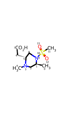 C[C@H]1CN(C)[C@H](CC(=O)O)CN1S(C)(=O)=O